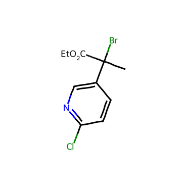 CCOC(=O)C(C)(Br)c1ccc(Cl)nc1